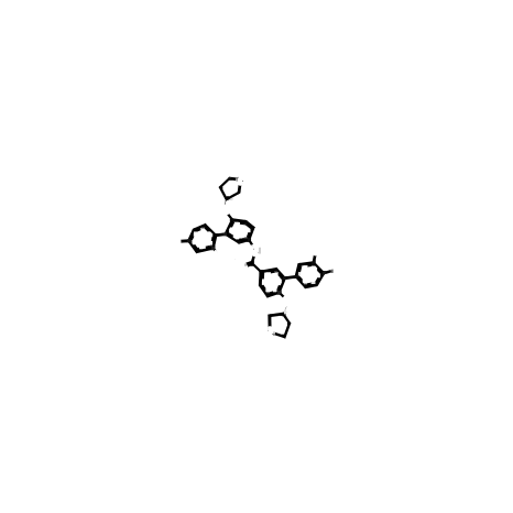 Cc1cc(F)ccc1-c1cc(NC(=O)c2ccc(O[C@H]3CCNC3)c(-c3ccc(F)c(F)c3)c2)ccc1O[C@H]1CCNC1